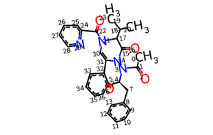 CC(=O)N([C@H](C=O)Cc1ccccc1)N1C(=O)C(C(C)C)N(C(=O)c2ccccn2)C=C1c1ccccc1